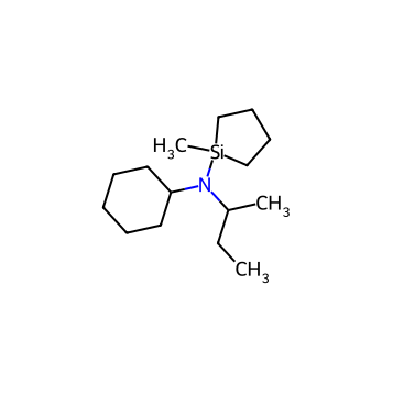 CCC(C)N(C1CCCCC1)[Si]1(C)CCCC1